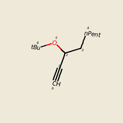 C#CC(CCCCCC)OC(C)(C)C